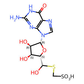 Nc1nc2c(ncn2[C@@H]2O[C@H](C(O)SCS(=O)(=O)O)[C@@H](O)[C@H]2O)c(=O)[nH]1